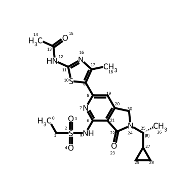 CCS(=O)(=O)Nc1nc(-c2sc(NC(C)=O)nc2C)cc2c1C(=O)N([C@H](C)C1CC1)C2